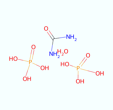 NC(N)=O.O.O=P(O)(O)O.O=P(O)(O)O